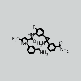 NCc1cccc(-n2nc(C(F)(F)F)cc2C(=O)Nc2cc(C3CC3(N)c3cccc(C(N)=O)c3)ccc2F)c1